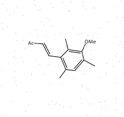 COc1c(C)cc(C)c(C=CC(C)=O)c1C